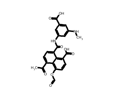 CNc1cc(NC(=O)c2ccc(C(C)=O)c3c(OC=O)ccc(C(=O)O)c23)cc(C(=O)O)c1